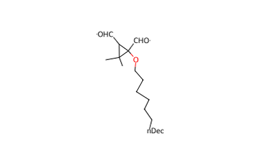 CCCCCCCCCCCCCCCCOC1([C]=O)C([C]=O)C1(C)C